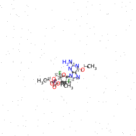 CCOc1nc(N)nc2c1ncn2[C@@H]1O[C@]2(F)COP(=O)(OCC)O[C@H]2[C@@]1(C)F